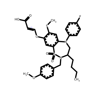 CCCCC1CN(c2ccc(F)cc2)c2cc(SC)c(O/C=C/C(=O)O)cc2S(=O)(=O)N1Cc1ccc(OC)cc1